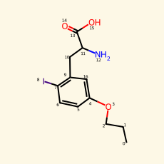 CCCOc1ccc(I)c(CC(N)C(=O)O)c1